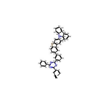 C#C/C=C(\C=C/C)c1nc(-c2ccccc2)nc(-c2cccc(-c3ccc4sc5cc6c(cc5c4c3)c3cccc4c5ccccc5n6c43)c2)n1